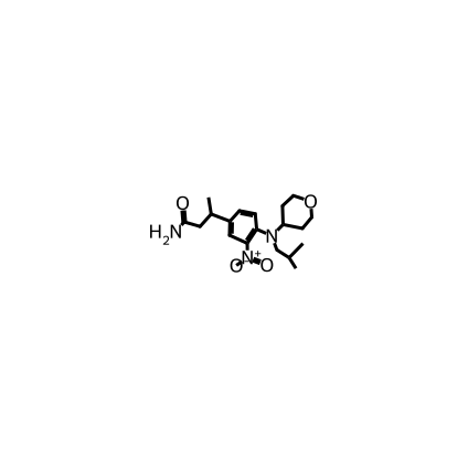 CC(C)CN(c1ccc(C(C)CC(N)=O)cc1[N+](=O)[O-])C1CCOCC1